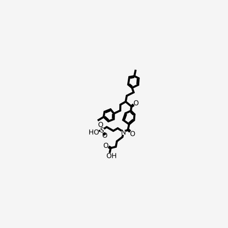 Cc1ccc(CCC(CCc2ccc(C)cc2)C(=O)c2ccc(C(=O)N(CCCC(=O)O)CCCS(=O)(=O)O)cc2)cc1